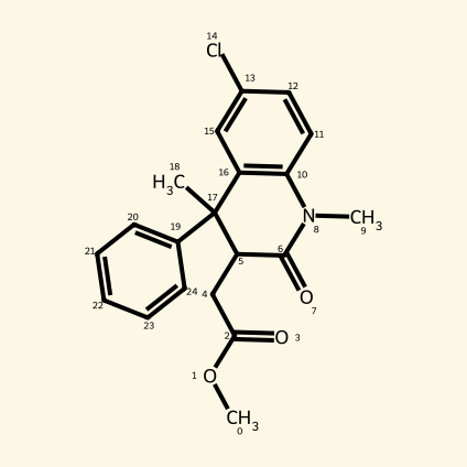 COC(=O)CC1C(=O)N(C)c2ccc(Cl)cc2C1(C)c1ccccc1